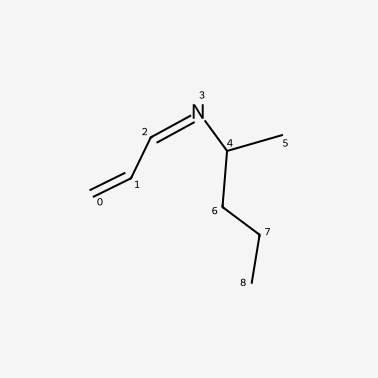 C=C/C=N\C(C)CCC